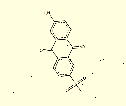 Nc1ccc2c(c1)C(=O)c1ccc(S(=O)(=O)O)cc1C2=O